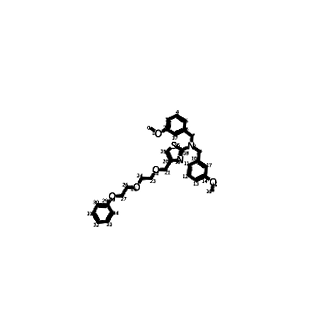 COc1cccc(CN(Cc2cccc(OC)c2)c2nc(COCCOCCOc3ccccc3)cs2)c1